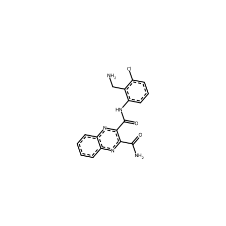 NCc1c(Cl)cccc1NC(=O)c1nc2ccccc2nc1C(N)=O